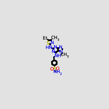 CCc1sc(Nc2nc(NCc3ccc(S(N)(=O)=O)cc3)c3c(ncn3C)n2)nc1C